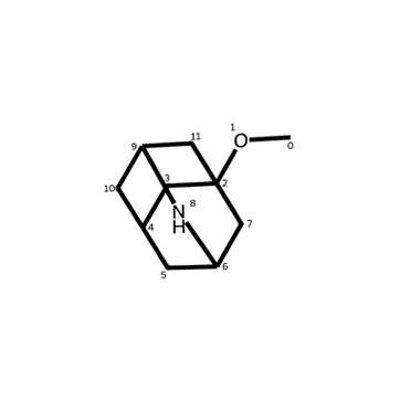 COC12CC3CC(C1)NC(C3)C2